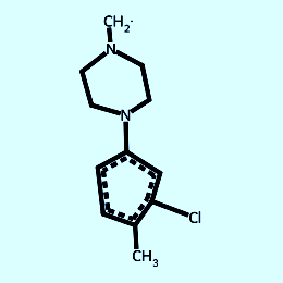 [CH2]N1CCN(c2ccc(C)c(Cl)c2)CC1